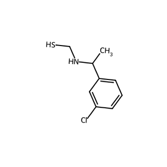 CC(NCS)c1cccc(Cl)c1